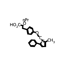 CCCOC(Cc1ccc(OCCn2c(C)ccc2-c2ccccc2)cc1)C(=O)O